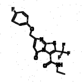 CCNC(=O)c1c(C(F)(F)F)sc2nc(COc3ccc(F)cc3)cc(=O)n12